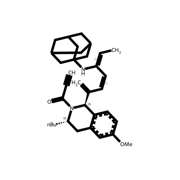 C#CC(=O)N1[C@@H](CCCC)Cc2cc(OC)ccc2[C@@H]1C(=C)/C=C\C(=C/C)NC12CC3CC(CC(C3)C1)C2